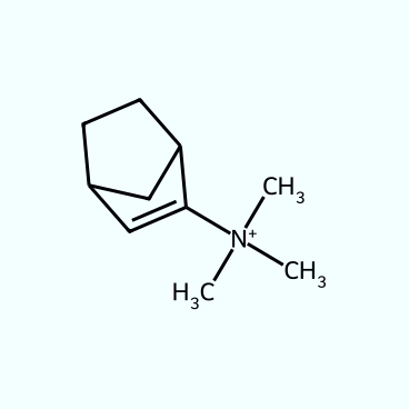 C[N+](C)(C)C1=CC2CCC1C2